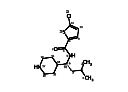 CC(C)C[C@@H](NC(=O)c1ccc(Cl)s1)C1CCNCC1